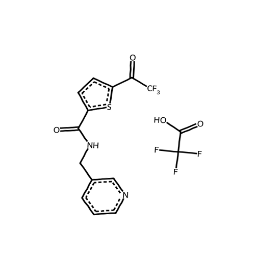 O=C(NCc1cccnc1)c1ccc(C(=O)C(F)(F)F)s1.O=C(O)C(F)(F)F